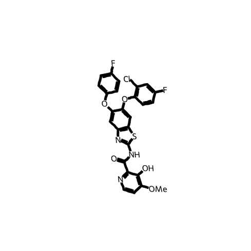 COc1ccnc(C(=O)Nc2nc3cc(Oc4ccc(F)cc4)c(Oc4ccc(F)cc4Cl)cc3s2)c1O